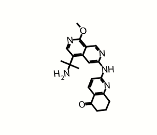 COc1ncc(C(C)(C)N)c2cc(Nc3ccc4c(n3)CCCC4=O)ncc12